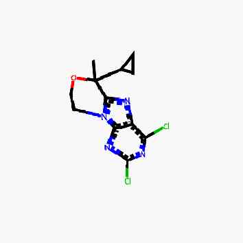 CC1(C2CC2)OCCn2c1nc1c(Cl)nc(Cl)nc12